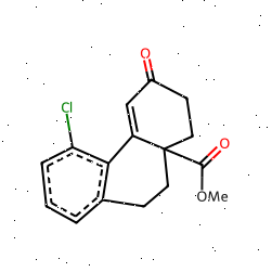 COC(=O)C12CCC(=O)C=C1c1c(Cl)cccc1CC2